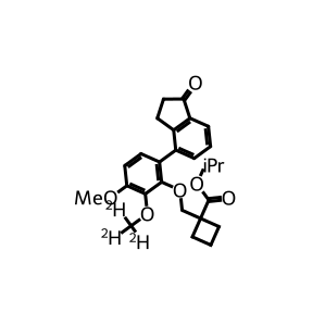 [2H]C([2H])([2H])Oc1c(OC)ccc(-c2cccc3c2CCC3=O)c1OCC1(C(=O)OC(C)C)CCC1